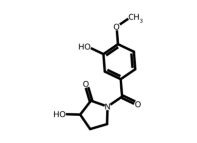 COc1ccc(C(=O)N2CCC(O)C2=O)cc1O